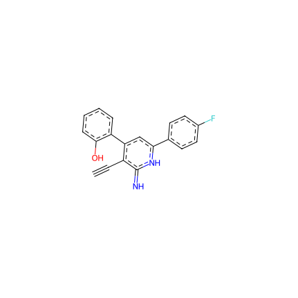 C#Cc1c(-c2ccccc2O)cc(-c2ccc(F)cc2)[nH]c1=N